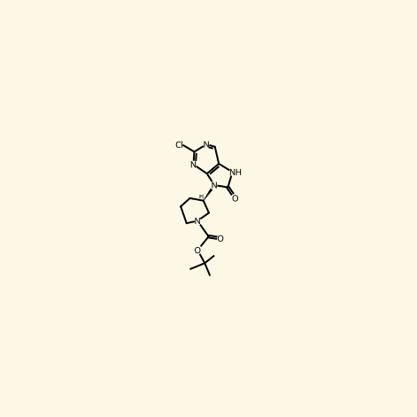 CC(C)(C)OC(=O)N1CCC[C@@H](n2c(=O)[nH]c3cnc(Cl)nc32)C1